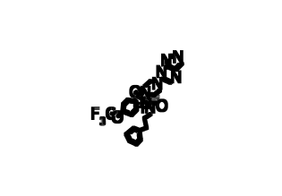 O=C(NCCCc1ccccc1)[C@H]1CN(c2cnc3cncnc3n2)CCN1S(=O)(=O)c1ccc(OC(F)(F)F)cc1